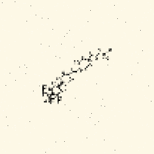 CC(C)CCCC1CCC(CCC2CCC(c3cc(F)c(C(F)(F)F)c(F)c3)CC2)CC1